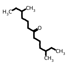 CCC(C)CCCC(=O)CCCC(C)CC